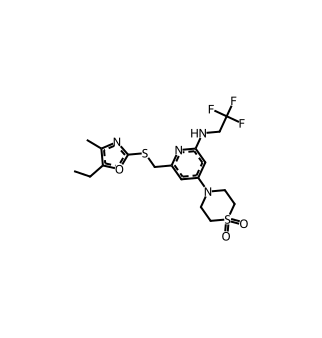 CCc1oc(SCc2cc(N3CCS(=O)(=O)CC3)cc(NCC(F)(F)F)n2)nc1C